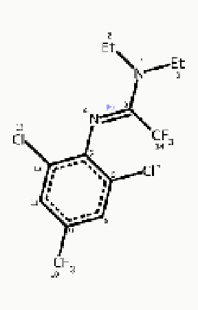 CCN(CC)/C(=N/c1c(Cl)cc(C(F)(F)F)cc1Cl)C(F)(F)F